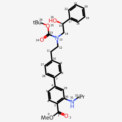 COC(=O)c1ccc(-c2ccc(CCN(C[C@@H](O)c3ccccc3)C(=O)OC(C)(C)C)cc2)cc1NC(C)C